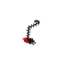 CCCC/C=C\CCCCCC/C=C\CCCCCCCCC(O)(C[N+](C)(C)C)P(=O)(O)O